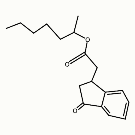 CCCCCC(C)OC(=O)CC1CC(=O)c2ccccc21